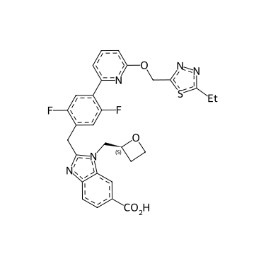 CCc1nnc(COc2cccc(-c3cc(F)c(Cc4nc5ccc(C(=O)O)cc5n4C[C@@H]4CCO4)cc3F)n2)s1